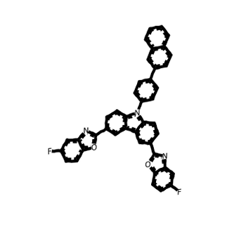 Fc1ccc2oc(-c3ccc4c(c3)c3cc(-c5nc6cc(F)ccc6o5)ccc3n4-c3ccc(-c4ccc5ccccc5c4)cc3)nc2c1